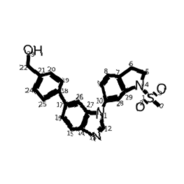 CS(=O)(=O)N1CCc2ccc(-n3cnc4ccc(-c5ccc(CO)cc5)cc43)cc21